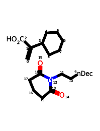 C=C(C(=O)O)C1CCCCC1.CCCCCCCCCCCCN1C(=O)CCCC1=O